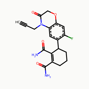 C#CCN1C(=O)COc2cc(F)c(C3CCCC(C(N)=O)=C3C(N)=O)cc21